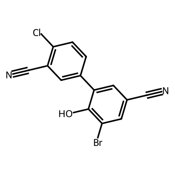 N#Cc1cc(Br)c(O)c(-c2ccc(Cl)c(C#N)c2)c1